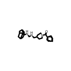 O=C(c1ccccc1)N1CCC(CNCNC23CC4CC(CC(C4)C2)C3)CC1